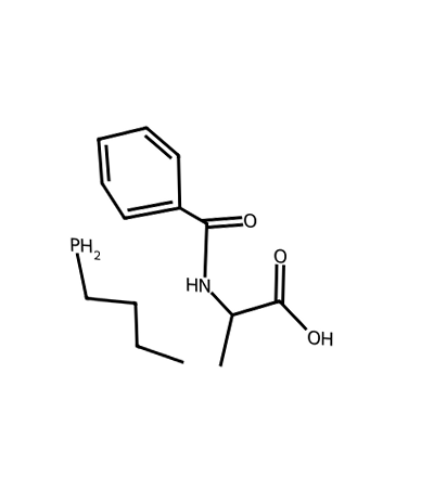 CC(NC(=O)c1ccccc1)C(=O)O.CCCCP